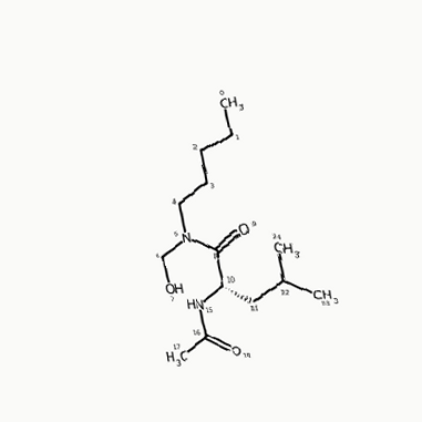 CCCCCN(CO)C(=O)[C@H](CC(C)C)NC(C)=O